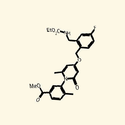 CCOC(=O)NCc1cc(F)ccc1COc1cc(C)n(-c2cc(C(=O)OC)ccc2C)c(=O)c1